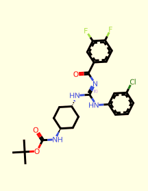 CC(C)(C)OC(=O)N[C@H]1CC[C@H](N/C(=N\C(=O)c2ccc(F)c(F)c2)Nc2cccc(Cl)c2)CC1